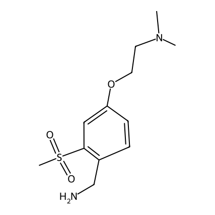 CN(C)CCOc1ccc(CN)c(S(C)(=O)=O)c1